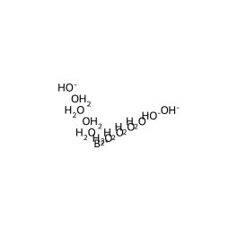 O.O.O.O.O.O.O.O.[B+3].[OH-].[OH-].[OH-]